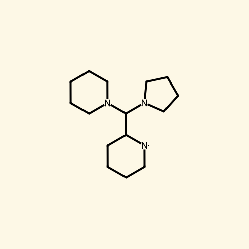 C1CCN(C(C2CCCC[N]2)N2CCCC2)CC1